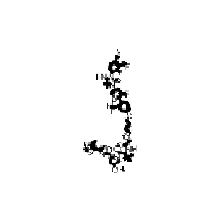 Cc1ncsc1-c1coc([C@@H]2C[C@@H](O)CN2C(=O)[C@@H](NC(=O)COCCCCOc2ccc(-c3ncc(N4C(=S)N(c5ccc(C#N)c(CF)c5C)C(=N)C4(C)C)cc3F)c(C(F)(F)F)c2)C(C)(C)C)n1